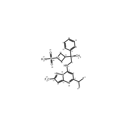 C[C@](CNc1cc(C(F)F)nc2cc(C(F)(F)F)nn12)(c1ccccc1)C1CN(S(N)(=O)=O)C1